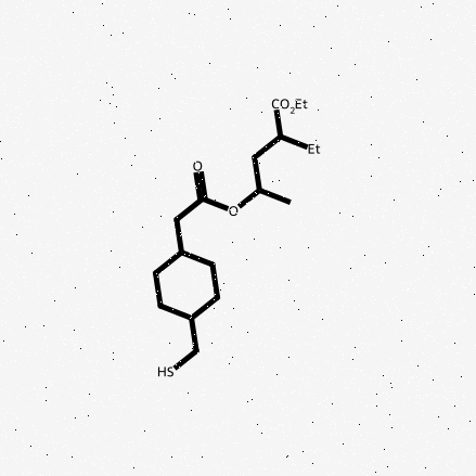 CCOC(=O)C(CC)CC(C)OC(=O)CC1CCC(CS)CC1